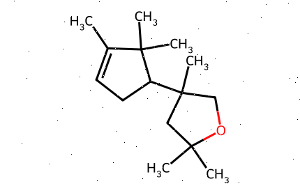 CC1=CCC(C2(C)COC(C)(C)C2)C1(C)C